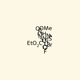 CCOC(=O)C1=C(CN2CCN(C(=O)OC)CC2)NC(c2nccs2)=NC1c1ccc(F)cc1Br